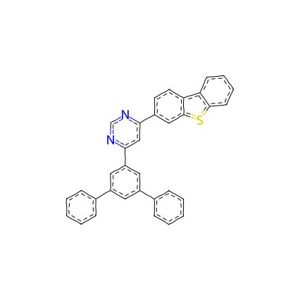 c1ccc(-c2cc(-c3ccccc3)cc(-c3cc(-c4ccc5c(c4)sc4ccccc45)ncn3)c2)cc1